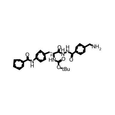 CC(C)(C)OC(=O)N[C@H](Cc1ccc(NC(=O)c2ccccc2)cc1)C(=O)NNC(=O)c1ccc(CN)cc1